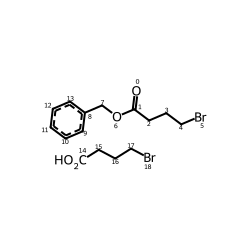 O=C(CCCBr)OCc1ccccc1.O=C(O)CCCBr